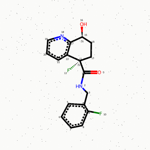 O=C(NCc1ccccc1F)[C@]1(F)CC[C@H](O)c2ncccc21